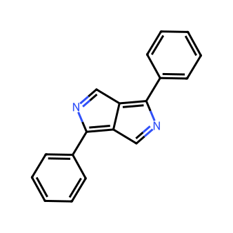 C1=NC(c2ccccc2)=C2C=NC(c3ccccc3)=C12